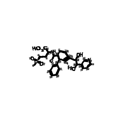 CS(=O)(=O)CCC(NC(=O)c1ccc(C(O)C(O)c2cccnc2)cc1-c1ccccc1)C(=O)O